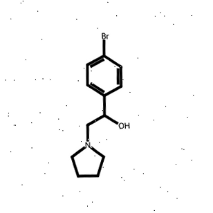 OC(CN1CCCC1)c1ccc(Br)cc1